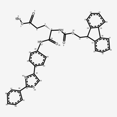 CC(C)(C)OC(=O)CC[C@H](NC(=O)OCC1c2ccccc2-c2ccccc21)C(=O)Nc1ccc(-c2csc(-c3ccccc3)n2)cc1